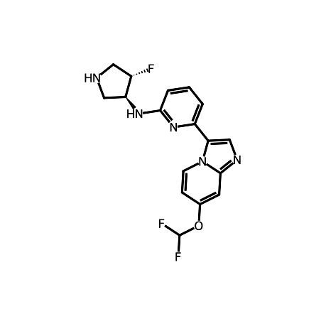 FC(F)Oc1ccn2c(-c3cccc(N[C@H]4CNC[C@@H]4F)n3)cnc2c1